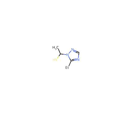 CCc1ncnn1C(C)S